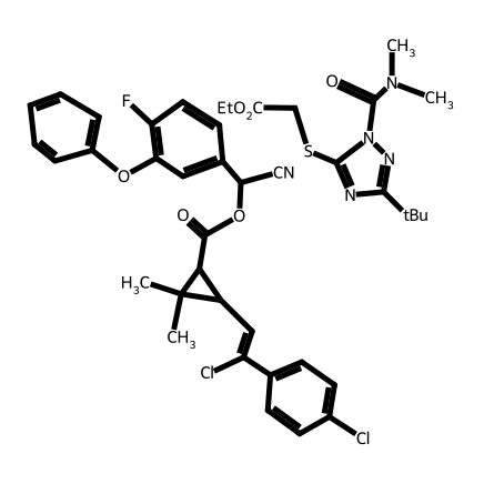 CC1(C)C(/C=C(\Cl)c2ccc(Cl)cc2)C1C(=O)OC(C#N)c1ccc(F)c(Oc2ccccc2)c1.CCOC(=O)CSc1nc(C(C)(C)C)nn1C(=O)N(C)C